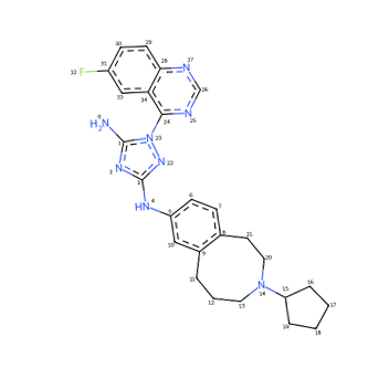 Nc1nc(Nc2ccc3c(c2)CCCN(C2CCCC2)CC3)nn1-c1ncnc2ccc(F)cc12